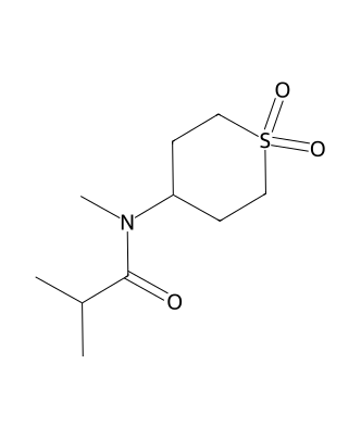 CC(C)C(=O)N(C)C1CCS(=O)(=O)CC1